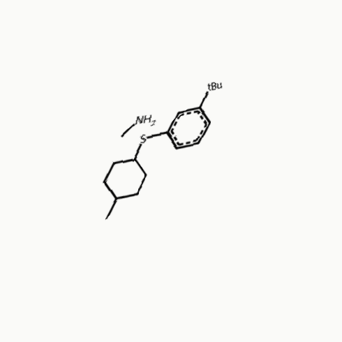 CC1CCC(Sc2cccc(C(C)(C)C)c2)CC1.CN